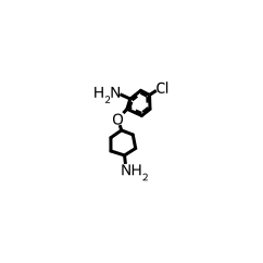 Nc1cc(Cl)ccc1OC1CCC(N)CC1